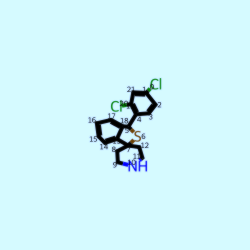 Clc1ccc(C2SC3(CCNCC3)c3ccccc32)c(Cl)c1